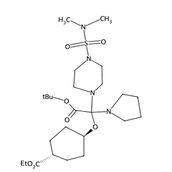 CCOC(=O)[C@H]1CC[C@H](OC(C(=O)OC(C)(C)C)(N2CCCC2)N2CCN(S(=O)(=O)N(C)C)CC2)CC1